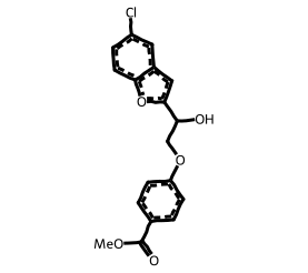 COC(=O)c1ccc(OCC(O)c2cc3cc(Cl)ccc3o2)cc1